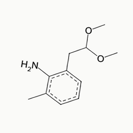 COC(Cc1cccc(C)c1N)OC